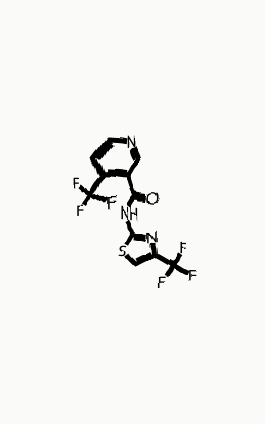 O=C(Nc1nc(C(F)(F)F)cs1)c1cnccc1C(F)(F)F